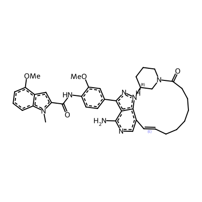 COc1cc(-c2nn3c4c(cnc(N)c24)/C=C/CCCCCCC(=O)N2CCC[C@@H]3C2)ccc1NC(=O)c1cc2c(OC)cccc2n1C